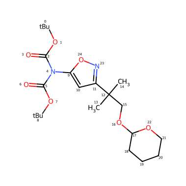 CC(C)(C)OC(=O)N(C(=O)OC(C)(C)C)c1cc(C(C)(C)COC2CCCCO2)no1